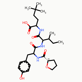 CCC(C)C(NC(=O)C(Cc1ccc(O)cc1)NC(=O)[C@@H]1CCCO1)C(=O)NC(CCC(C)(C)C)C(=O)O